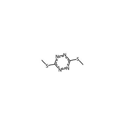 CSc1nnc(SC)nn1